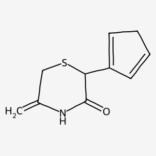 C=C1CSC(C2=CCC=C2)C(=O)N1